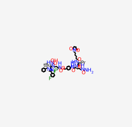 CC(C)[C@H](NC(=O)CCCCCN1C(=O)C=CC1=O)C(=O)N[C@@H](CCCNC(N)=O)C(=O)Nc1ccc(COC(=O)N[C@H](CF)CCN(C(=O)NO)[C@@H](c2nc(-c3cc(F)ccc3F)cn2Cc2ccccc2)C(C)(C)C)cc1